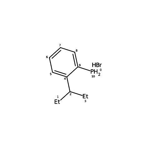 Br.CCC(CC)c1ccccc1P